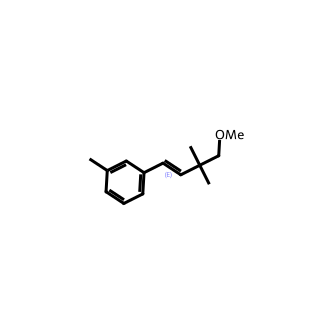 COCC(C)(C)/C=C/c1cccc(C)c1